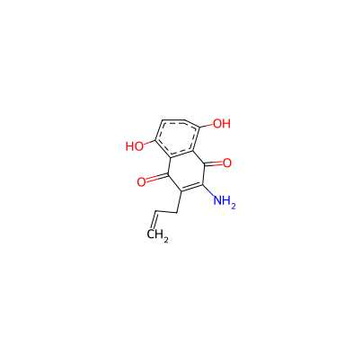 C=CCC1=C(N)C(=O)c2c(O)ccc(O)c2C1=O